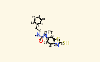 CCCN(C(=O)N(C)CCc1ccccc1)c1ccc2nc(S)sc2c1